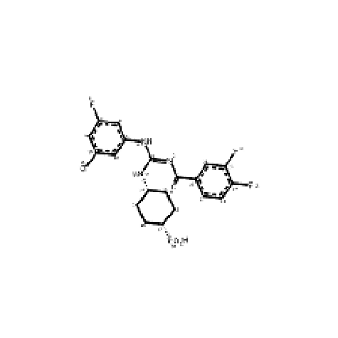 O=C(/N=C(/Nc1cc(F)cc(Cl)c1)N[C@H]1CC[C@@H](C(=O)O)CC1)c1ccc(F)c(F)c1